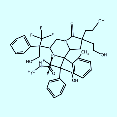 CNC(=O)N1C(C(CO)(c2ccccc2)C(F)(F)F)CN2C(=O)C(CCO)(CCO)CC2C1(c1ccccc1C)C(CO)(c1ccccc1)C(F)(F)F